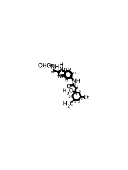 C=C1CC(CC)CC(C)(CC(=O)Nc2ccc3[nH]c(CNC=O)nc3c2)C1